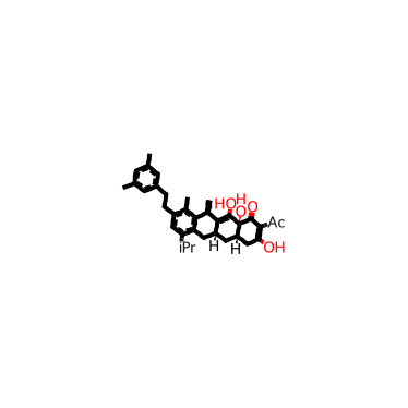 C=C1C2=C(O)[C@@]3(O)C(=O)C(C(C)=O)=C(O)C[C@H]3C[C@H]2Cc2c(C(C)C)cc(CCc3cc(C)cc(C)c3)c(C)c21